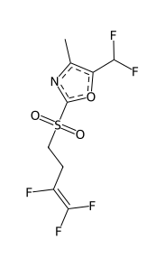 Cc1nc(S(=O)(=O)CCC(F)=C(F)F)oc1C(F)F